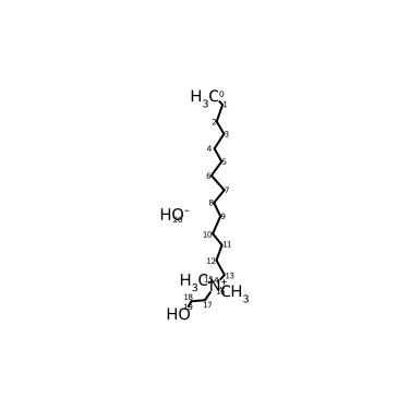 CCCCCCCCCCCCCC[N+](C)(C)CCO.[OH-]